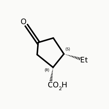 CC[C@H]1CC(=O)C[C@H]1C(=O)O